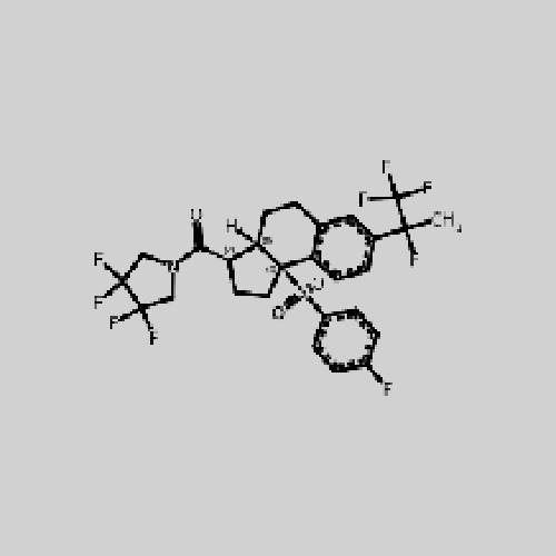 CC(F)(c1ccc2c(c1)CC[C@H]1[C@H](C(=O)N3CC(F)(F)C(F)(F)C3)CC[C@@]21S(=O)(=O)c1ccc(F)cc1)C(F)(F)F